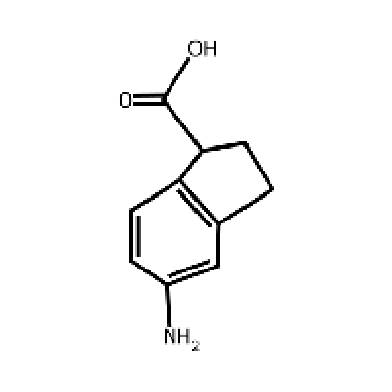 Nc1ccc2c(c1)CCC2C(=O)O